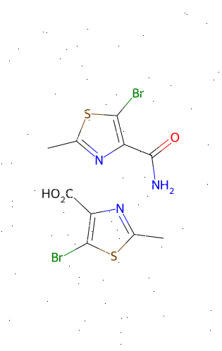 Cc1nc(C(=O)O)c(Br)s1.Cc1nc(C(N)=O)c(Br)s1